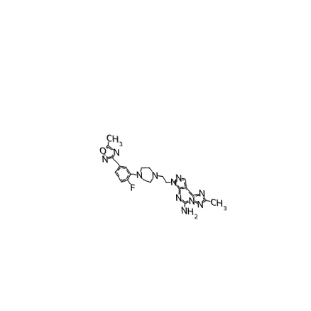 Cc1nc2c3cnn(CCN4CCN(c5cc(-c6noc(C)n6)ccc5F)CC4)c3nc(N)n2n1